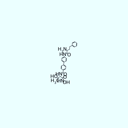 C[C@@H](O)[C@H](NC(=O)c1ccc(-c2ccc(NC(=O)[C@H](N)CCc3ccccc3)cc2)cc1)C(=O)NO